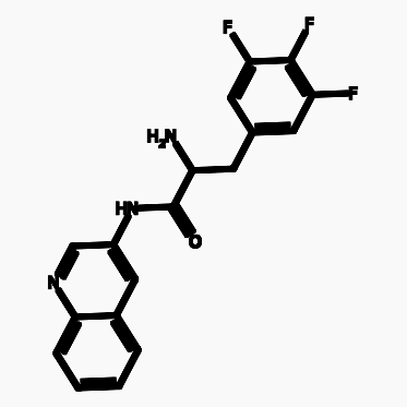 NC(Cc1cc(F)c(F)c(F)c1)C(=O)Nc1cnc2ccccc2c1